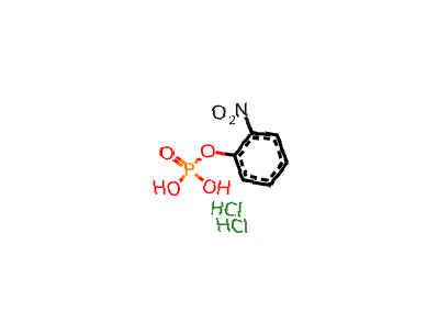 Cl.Cl.O=[N+]([O-])c1ccccc1OP(=O)(O)O